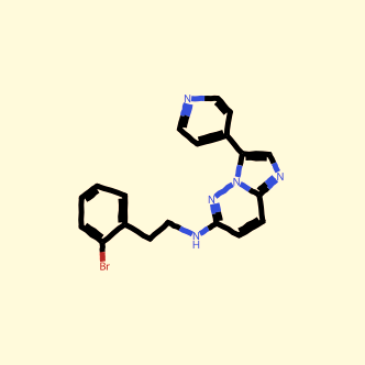 Brc1ccccc1CCNc1ccc2ncc(-c3ccncc3)n2n1